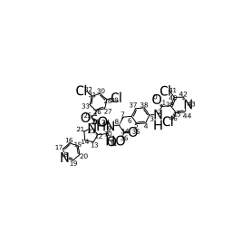 O=C(Nc1ccc(C[C@H](NC(=O)C2C[C@H](c3ccncc3)CN2S(=O)(=O)c2cc(Cl)cc(Cl)c2)C(=O)O)cc1)c1c(Cl)cncc1Cl